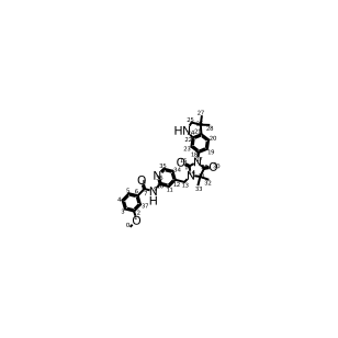 COc1cccc(C(=O)Nc2cc(CN3C(=O)N(c4ccc5c(c4)NCC5(C)C)C(=O)C3(C)C)ccn2)c1